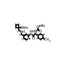 CCCCOC(=O)N[C@H](C(=O)Nc1cc(CNCC2(NC)CCC2)ccn1)C1CCC(C)CC1